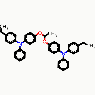 CCc1ccc(N(c2ccccc2)c2ccc(OC(C)Oc3ccc(N(c4ccccc4)c4ccc(CC)cc4)cc3)cc2)cc1